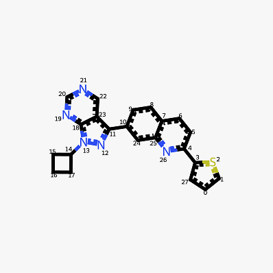 c1csc(-c2ccc3ccc(-c4nn(C5CCC5)c5ncncc45)cc3n2)c1